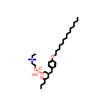 CCCCCCCCCCCCCCOc1ccc(CC(COP(=O)(O)OCC[N+](C)(C)CC)CC(=O)CCC)cc1